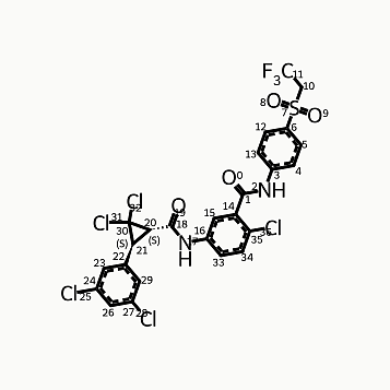 O=C(Nc1ccc(S(=O)(=O)CC(F)(F)F)cc1)c1cc(NC(=O)[C@@H]2[C@@H](c3cc(Cl)cc(Cl)c3)C2(Cl)Cl)ccc1Cl